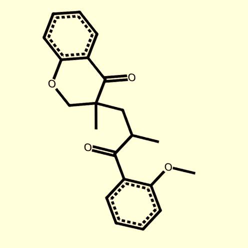 COc1ccccc1C(=O)C(C)CC1(C)COc2ccccc2C1=O